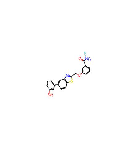 O=C(NF)c1cccc(OCc2nc3cc(-c4cccc(O)c4)ccc3s2)c1